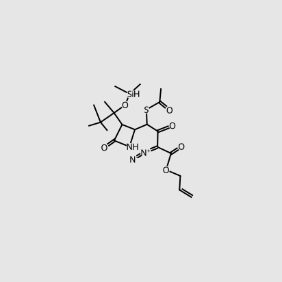 C=CCOC(=O)C(=[N+]=[N-])C(=O)C(SC(C)=O)C1NC(=O)C1C(C)(O[SiH](C)C)C(C)(C)C